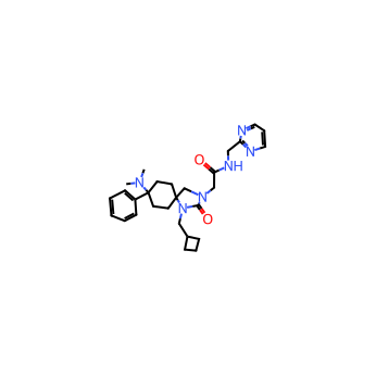 CN(C)C1(c2ccccc2)CCC2(CC1)CN(CC(=O)NCc1ncccn1)C(=O)N2CC1CCC1